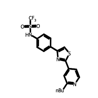 CCCCc1cc(-c2nc(-c3ccc(NS(=O)(=O)C(F)(F)F)cc3)cs2)ccn1